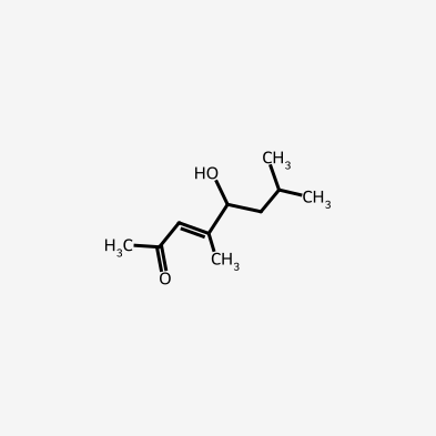 CC(=O)/C=C(\C)C(O)CC(C)C